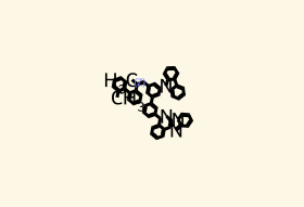 C/C(=C/c1cc(-c2cccc(-c3nc4c(nc5ccccn54)c4ccccc34)c2)cc(-n2c3ccccc3c3ccccc32)c1)c1ccccc1-c1ccccc1C